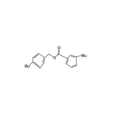 CCC(C)c1ccc(COC(=O)c2cccc(C(C)CC)c2)cc1